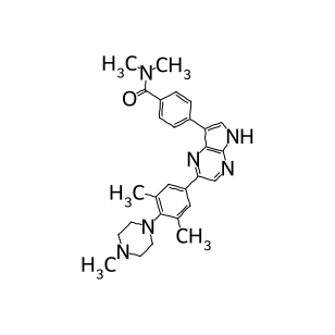 Cc1cc(-c2cnc3[nH]cc(-c4ccc(C(=O)N(C)C)cc4)c3n2)cc(C)c1N1CCN(C)CC1